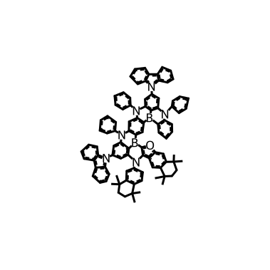 CC1(C)CCC(C)(C)c2cc(N3c4cc(-n5c6ccccc6c6ccccc65)cc5c4B(c4cc6c(cc4N5c4ccccc4)N(c4ccccc4)c4cc(-n5c7ccccc7c7ccccc75)cc5c4B6c4ccccc4N5c4ccccc4)c4oc5cc6c(cc5c43)C(C)(C)CCC6(C)C)ccc21